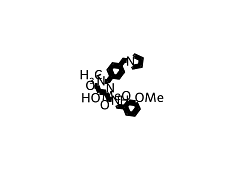 COc1cccc(CNC(=O)c2nc(-c3ccc(CN4CCCC4)cc3)n(C)c(=O)c2O)c1OC